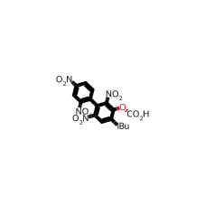 CCC(C)c1cc([N+](=O)[O-])c(-c2ccc([N+](=O)[O-])cc2[N+](=O)[O-])c([N+](=O)[O-])c1OC(=O)O